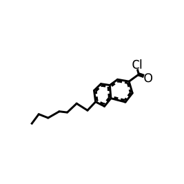 CCCCCCCc1ccc2cc(C(=O)Cl)ccc2c1